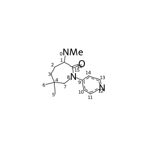 CNC1CCC(C)(C)CN(c2ccncc2)C1=O